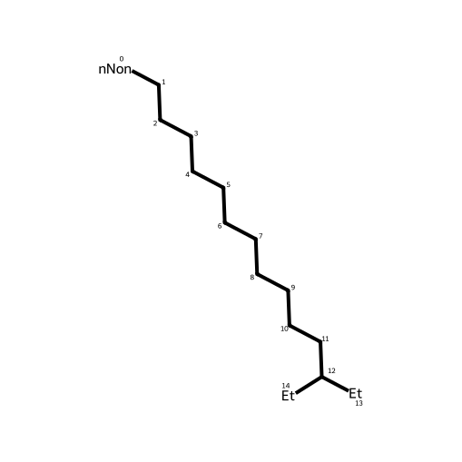 [CH2]CCCCCCCCCCCCCCCCCCCC(C[CH2])CC